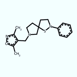 Cc1noc(C)c1CN1CCC2(CCN(c3ccccc3)S2)C1